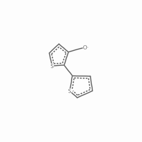 [O]c1ccsc1-c1cccs1